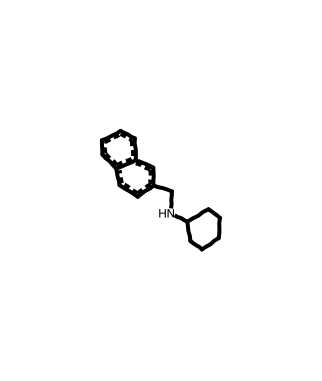 c1ccc2cc(CNC3CCCCC3)ccc2c1